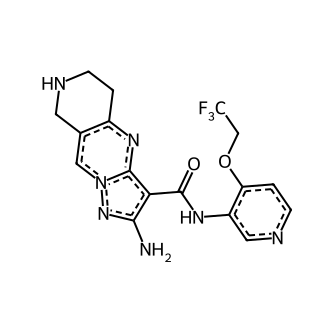 Nc1nn2cc3c(nc2c1C(=O)Nc1cnccc1OCC(F)(F)F)CCNC3